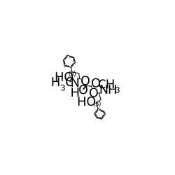 CNC(C[C@H](O)c1ccccc1)OC(=O)C(=O)OC(C[C@H](O)c1ccccc1)NC